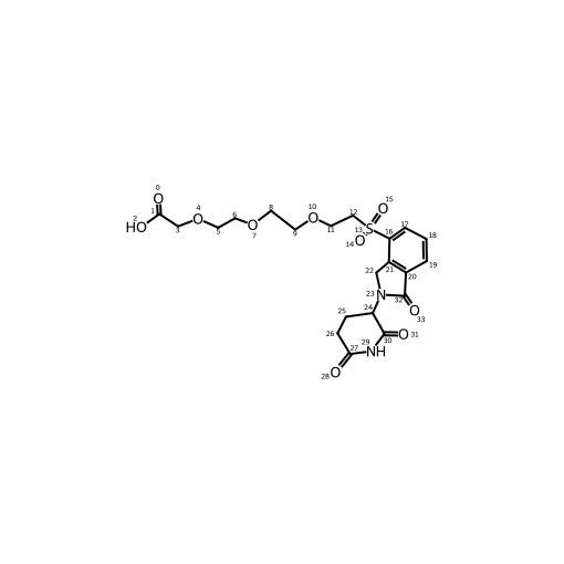 O=C(O)COCCOCCOCCS(=O)(=O)c1cccc2c1CN(C1CCC(=O)NC1=O)C2=O